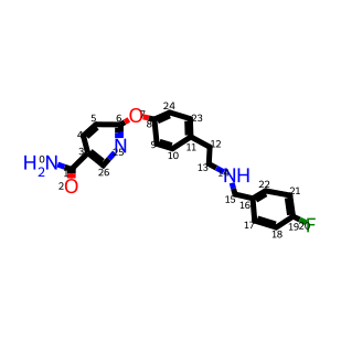 NC(=O)c1ccc(Oc2ccc(CCNCc3ccc(F)cc3)cc2)nc1